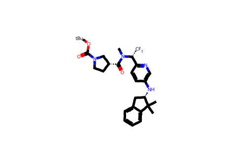 CN(C(=O)[C@@H]1CCN(C(=O)OC(C)(C)C)C1)[C@@H](c1ccc(N[C@H]2Cc3ccccc3C2(C)C)cn1)C(F)(F)F